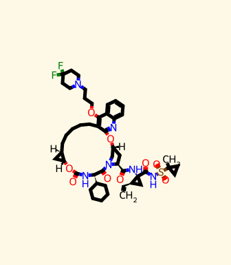 C=C[C@@H]1C[C@]1(NC(=O)[C@@H]1C[C@@H]2CN1C(=O)[C@H](C1CCCCC1)NC(=O)O[C@@H]1C[C@H]1CCCCCc1c(nc3ccccc3c1OCCCN1CCC(F)(F)CC1)O2)C(=O)NS(=O)(=O)C1(C)CC1